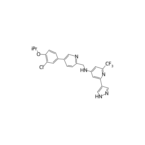 CC(C)Oc1ccc(-c2ccc(CNc3cc(-c4cn[nH]c4)nc(C(F)(F)F)c3)nc2)cc1Cl